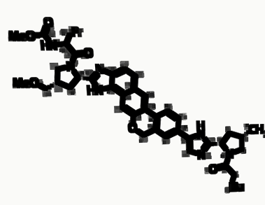 CCC(C)CC(=O)N1C[C@@H](C)C[C@H]1c1ncc(-c2ccc3c(c2)COc2cc4c(ccc5nc([C@@H]6C[C@H](COC)CN6C(=O)C(NC(=O)OC)C(C)C)[nH]c54)cc2-3)[nH]1